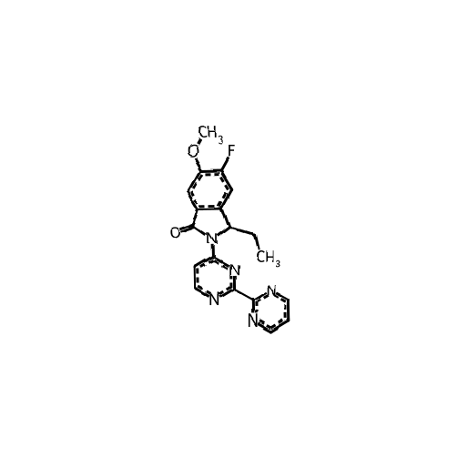 CCC1c2cc(F)c(OC)cc2C(=O)N1c1ccnc(-c2ncccn2)n1